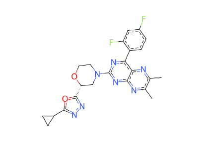 Cc1nc2nc(N3CCO[C@@H](c4nnc(C5CC5)o4)C3)nc(-c3ccc(F)cc3F)c2nc1C